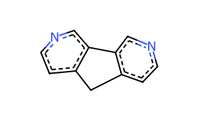 c1cc2c(cn1)-c1cnccc1C2